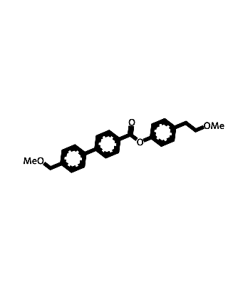 COCCc1ccc(OC(=O)c2ccc(-c3ccc(COC)cc3)cc2)cc1